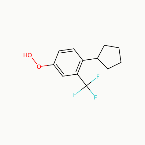 OOc1ccc(C2CCCC2)c(C(F)(F)F)c1